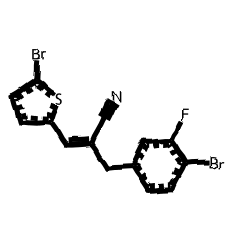 N#CC(=Cc1ccc(Br)s1)Cc1ccc(Br)c(F)c1